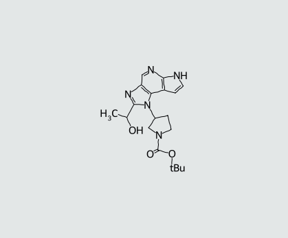 CC(O)c1nc2cnc3[nH]ccc3c2n1C1CCN(C(=O)OC(C)(C)C)C1